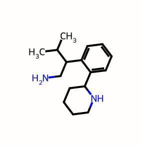 CC(C)C(CN)c1ccccc1C1CCCCN1